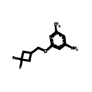 Nc1cc(OCC2CC(F)(F)C2)nc(C(F)(F)F)c1